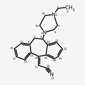 CCN1CCN(C2Cc3ccccc3/C(=C/C#N)c3ccccc32)CC1